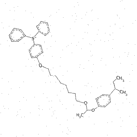 CCC(C)c1ccc(OC(C)OCCCCCCCCOc2ccc([S+](c3ccccc3)c3ccccc3)cc2)cc1